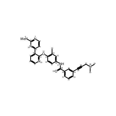 CNc1nccc(-c2cccnc2Oc2ccc(NC(=O)c3cccc(C#CCN(C)C)c3)cc2C)n1